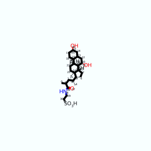 CC(C[C@@H](C)[C@H]1CC[C@H]2[C@@H]3[C@@H](O)CC4C[C@H](O)CC[C@]4(C)[C@H]3CC[C@]12C)C(=O)NCCS(=O)(=O)O